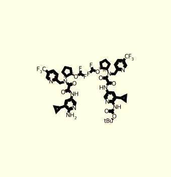 CC(C)(C)OC(=O)Nc1ncc(NC(=O)C(=O)N(Cc2ccc(C(F)(F)F)cn2)[C@@H]2CCC[C@H]2OC(F)F)cc1C1CC1.Nc1ncc(NC(=O)C(=O)N(Cc2ccc(C(F)(F)F)cn2)[C@@H]2CCC[C@H]2OC(F)F)cc1C1CC1